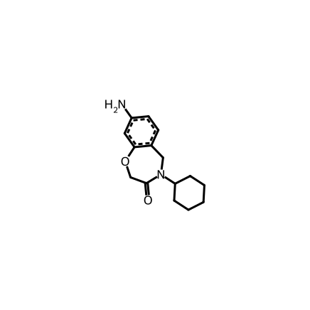 Nc1ccc2c(c1)OCC(=O)N(C1CCCCC1)C2